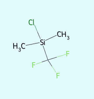 C[Si](C)(Cl)C(F)(F)F